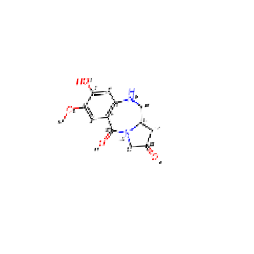 COc1cc2c(cc1O)NCC1CC(=O)CN1C2=O